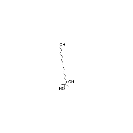 CC(C)(O)C(O)CCCCCCCCCCCO